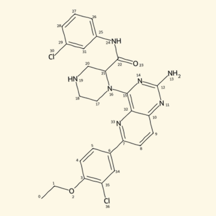 CCOc1ccc(-c2ccc3nc(N)nc(N4CCNCC4C(=O)Nc4cccc(Cl)c4)c3n2)cc1Cl